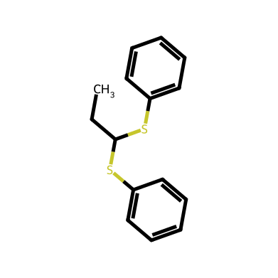 CCC(Sc1ccccc1)Sc1ccccc1